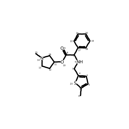 Cc1ccc(CNC(C(=O)OC2CCN(C)C2)c2ccccc2)s1